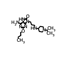 CCCCOc1nc(N)c2[nH]c(=O)n(CCCNC3CCN(C(C)C)CC3)c2n1